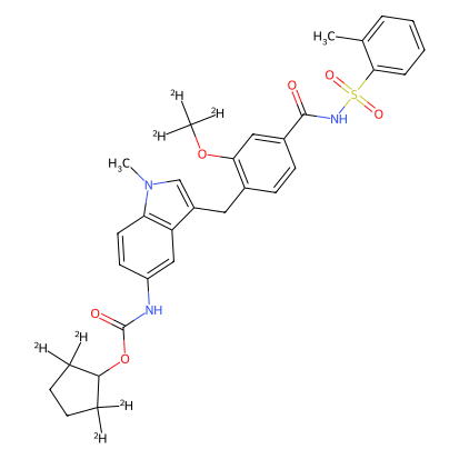 [2H]C([2H])([2H])Oc1cc(C(=O)NS(=O)(=O)c2ccccc2C)ccc1Cc1cn(C)c2ccc(NC(=O)OC3C([2H])([2H])CCC3([2H])[2H])cc12